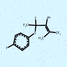 CC(=C(C(C)C)C(F)(Sc1ccc(F)cc1)C(F)(F)F)C(F)(F)F